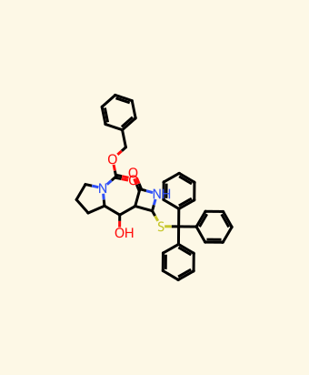 O=C1NC(SC(c2ccccc2)(c2ccccc2)c2ccccc2)C1C(O)C1CCCN1C(=O)OCc1ccccc1